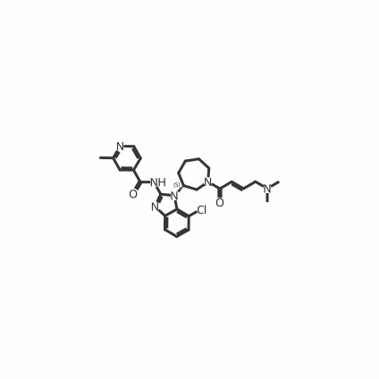 Cc1cc(C(=O)Nc2nc3cccc(Cl)c3n2[C@H]2CCCCN(C(=O)C=CCN(C)C)C2)ccn1